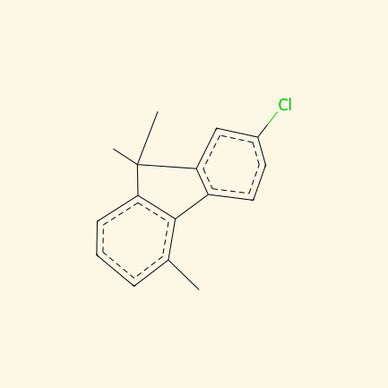 Cc1cccc2c1-c1ccc(Cl)cc1C2(C)C